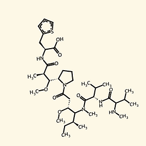 CC[C@H](C)C([C@@H](CC(=O)N1CCC[C@H]1C(OC)[C@@H](C)C(=O)N[C@@H](Cc1cccs1)C(=O)O)OC)N(C)C(=O)[C@@H](NC(=O)C(NC)C(C)C)C(C)C